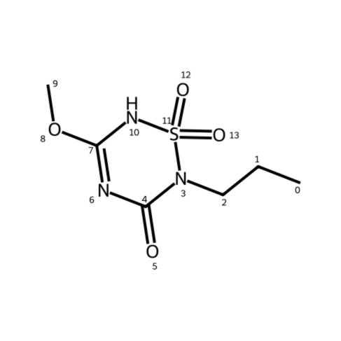 CCCN1C(=O)N=C(OC)NS1(=O)=O